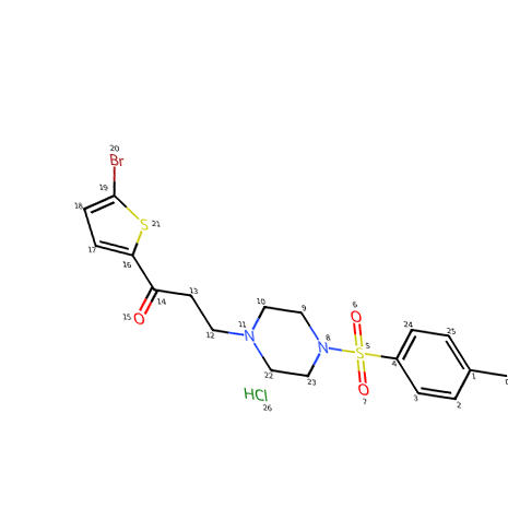 Cc1ccc(S(=O)(=O)N2CCN(CCC(=O)c3ccc(Br)s3)CC2)cc1.Cl